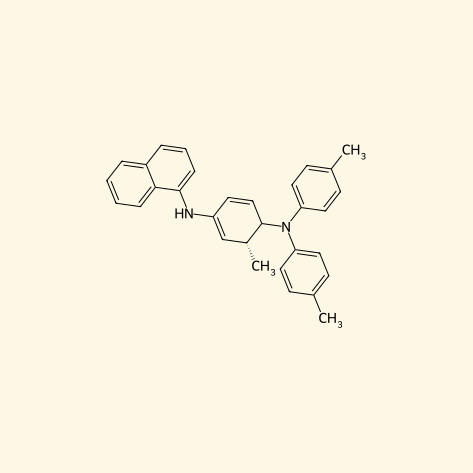 Cc1ccc(N(c2ccc(C)cc2)C2C=CC(Nc3cccc4ccccc34)=C[C@H]2C)cc1